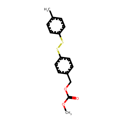 COC(=O)OCc1ccc(SSc2ccc(C)cc2)cc1